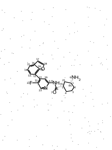 N[C@@H]1CCC[C@H](C(=O)Nc2cc(-c3cccc4ccoc34)c(F)cn2)C1